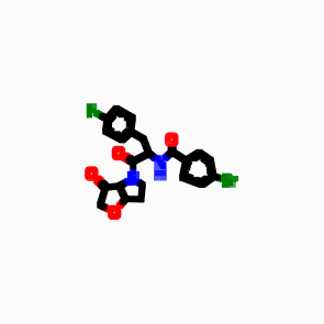 O=C(NC(Cc1ccc(F)cc1)C(=O)N1CCC2OCC(=O)C21)c1ccc(Br)cc1